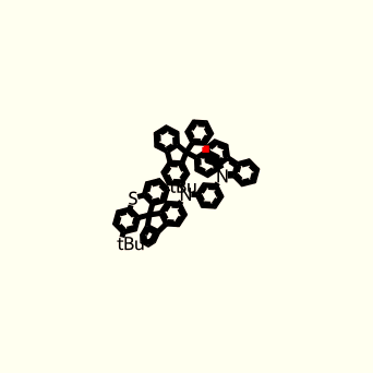 CC(C)(C)c1ccc2c(c1)C1(c3cc(C(C)(C)C)ccc3S2)c2ccccc2-c2ccc(N(c3cccc(-n4c5ccccc5c5ccccc54)c3)c3ccc4c(c3)C(c3ccccc3)(c3ccccc3)c3ccccc3-4)cc21